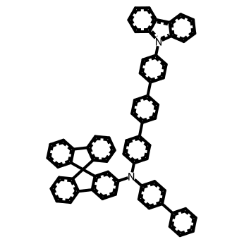 c1ccc(-c2ccc(N(c3ccc(-c4ccc(-c5ccc(-n6c7ccccc7c7ccccc76)cc5)cc4)cc3)c3ccc4c(c3)C3(c5ccccc5-c5ccccc53)c3ccccc3-4)cc2)cc1